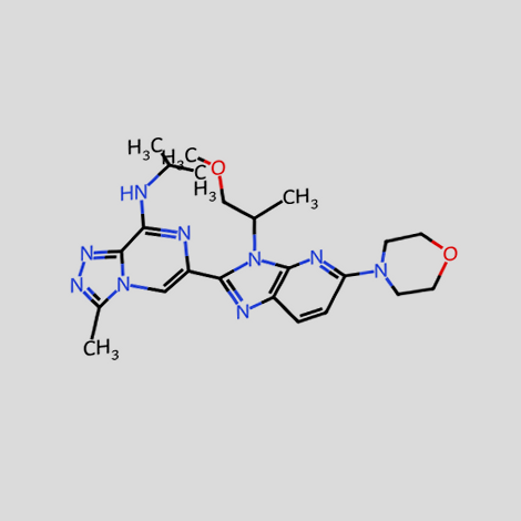 COCC(C)n1c(-c2cn3c(C)nnc3c(NC(C)C)n2)nc2ccc(N3CCOCC3)nc21